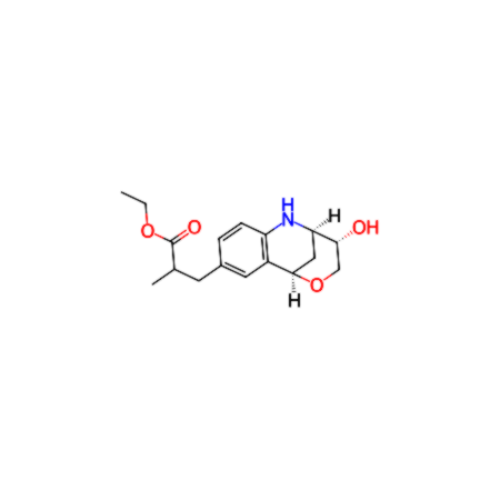 CCOC(=O)C(C)Cc1ccc2c(c1)[C@H]1C[C@@H](N2)[C@H](O)CO1